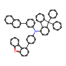 c1ccc(C2(c3ccccc3)c3ccccc3-c3c(N(c4ccc(-c5cccc6oc7ccccc7c56)cc4)c4cccc(-c5ccc6ccccc6c5)c4)cccc32)cc1